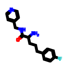 NC(CCCc1ccc(F)cc1)C(=O)NCc1ccncc1